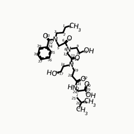 CCCCN(CC(=O)N(CCO)CC(=O)N(CCO)CCC(=O)N[C@@H](CC(C)C)C(=O)O)C(=O)c1ccccc1